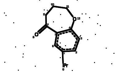 CC(C)c1ccc2c(c1)C(=O)CCCO2